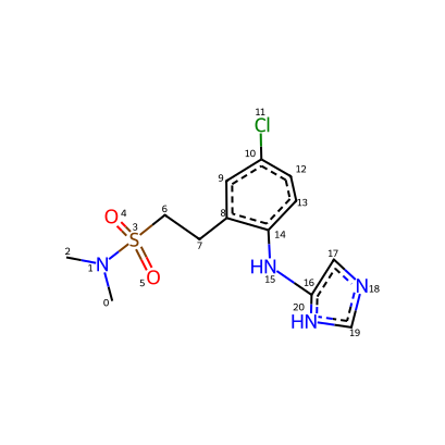 CN(C)S(=O)(=O)CCc1cc(Cl)ccc1Nc1cnc[nH]1